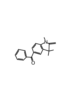 C=C1N(C)c2ccc(C(=O)c3ccccc3)cc2C1(C)C